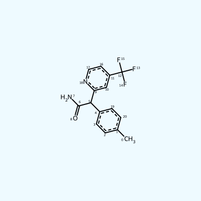 Cc1ccc(C(C(N)=O)c2cc(C(F)(F)F)ccn2)cc1